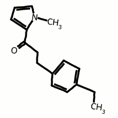 CCc1ccc(CCC(=O)c2cccn2C)cc1